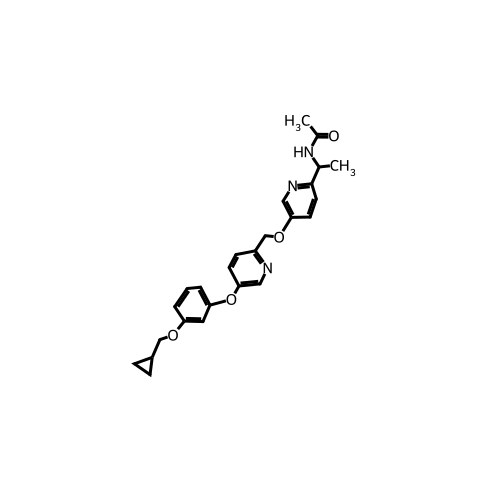 CC(=O)NC(C)c1ccc(OCc2ccc(Oc3cccc(OCC4CC4)c3)cn2)cn1